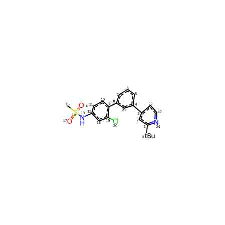 CC(C)(C)c1cc(-c2cccc(-c3ccc(NS(C)(=O)=O)cc3Cl)c2)ccn1